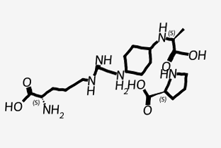 C[C@H](NC1CCCCC1)C(=O)O.N=C(N)NCCC[C@H](N)C(=O)O.O=C(O)[C@@H]1CCCN1